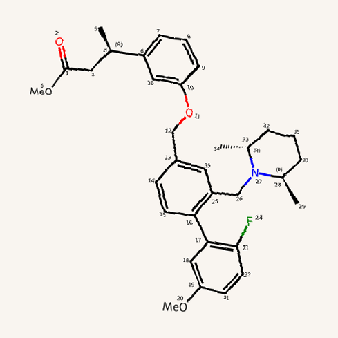 COC(=O)C[C@@H](C)c1cccc(OCc2ccc(-c3cc(OC)ccc3F)c(CN3[C@H](C)CCC[C@H]3C)c2)c1